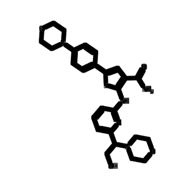 NC(=O)c1cc(-c2ccc(N3CCOCC3)cc2)sc1Nc1cccc(C(CO)N2CCOCC2)n1